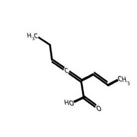 CC=CC(=C=CCC)C(=O)O